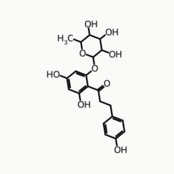 CC1OC(Oc2cc(O)cc(O)c2C(=O)CCc2ccc(O)cc2)C(O)C(O)C1O